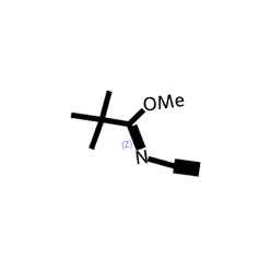 C#C/N=C(\OC)C(C)(C)C